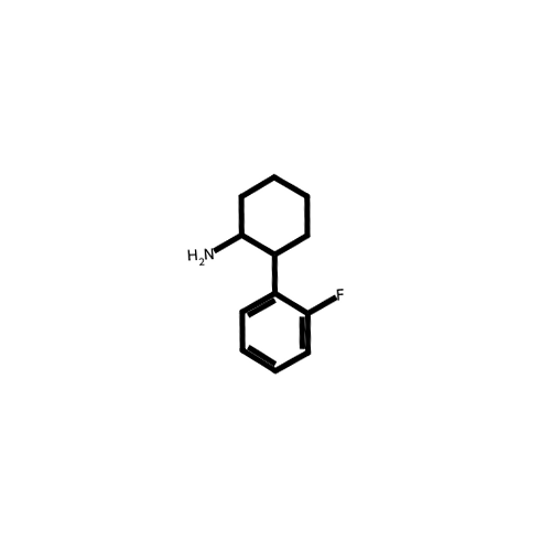 NC1CCCCC1c1ccccc1F